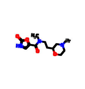 CC(C)N1CCOC(CCN(C)C(=O)c2c[nH]c(=O)o2)C1